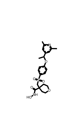 Cc1cc(C(C)Oc2ccc(S(=O)(=O)CC3(C(=O)NO)CCOCC3)cc2)cc(C)n1